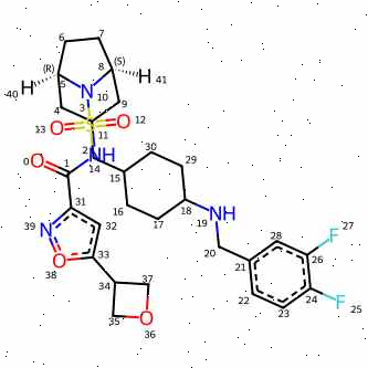 O=C(NC1C[C@H]2CC[C@@H](C1)N2S(=O)(=O)CC1CCC(NCc2ccc(F)c(F)c2)CC1)c1cc(C2COC2)on1